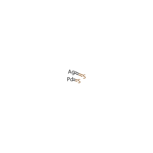 [S]=[Ag].[S]=[Pd]